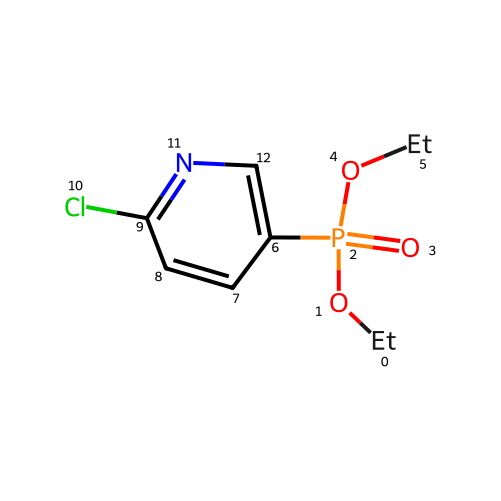 CCOP(=O)(OCC)c1ccc(Cl)nc1